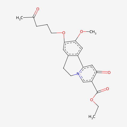 CCOC(=O)c1cn2c(cc1=O)-c1cc(OC)c(OCCCC(C)=O)cc1CC2